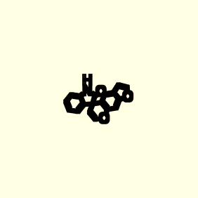 O=C1Nc2ccccc2C12C=COc1cc3occc3cc12